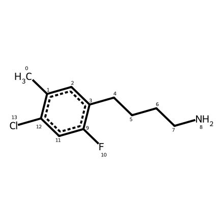 Cc1cc(CCCCN)c(F)cc1Cl